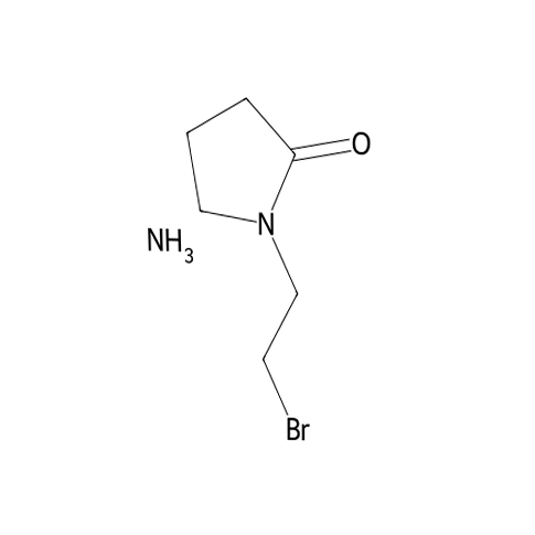 N.O=C1CCCN1CCBr